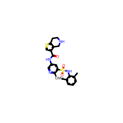 COc1ncc(NC(=O)c2csc3c2CNCC3)cc1S(=O)(=O)Nc1c(C)cccc1C